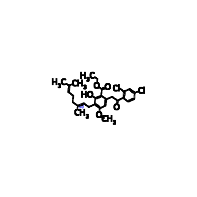 CCOC(=O)c1c(CC(=O)c2ccc(Cl)cc2Cl)cc(OC)c(C/C=C(\C)CCC=C(C)C)c1O